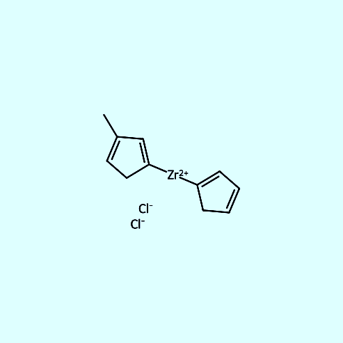 CC1=CC[C]([Zr+2][C]2=CC=CC2)=C1.[Cl-].[Cl-]